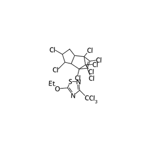 CCOc1nc(C(Cl)(Cl)Cl)ns1.ClC1=C(Cl)C2(Cl)C3C(Cl)C(Cl)CC3C1(Cl)C2(Cl)Cl